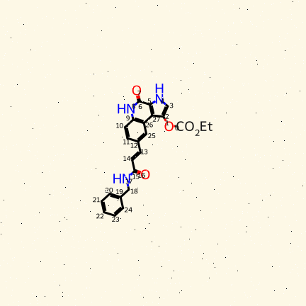 CCOC(=O)Oc1c[nH]c2c(=O)[nH]c3ccc(C=CC(=O)NCc4ccccc4)cc3c12